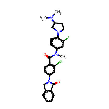 CN(C(=O)c1ccc(N2Cc3ccccc3C2=O)cc1Br)c1ccc(N2CCC(N(C)C)C2)c(F)c1